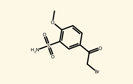 COc1ccc(C(=O)CBr)cc1S(N)(=O)=O